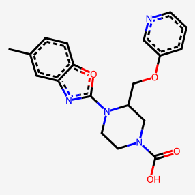 Cc1ccc2oc(N3CCN(C(=O)O)CC3COc3cccnc3)nc2c1